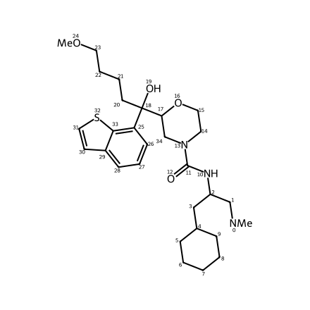 CNCC(CC1CCCCC1)NC(=O)N1CCOC(C(O)(CCCCOC)c2cccc3ccsc23)C1